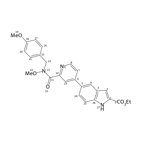 CCOC(=O)c1cc2cc(-c3ccnc(C(=O)N(Cc4ccc(OC)cc4)OC)c3)ccc2[nH]1